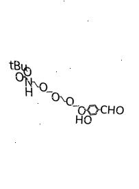 CC(C)(C)OC(=O)NCCOCCOCCOCCOc1ccc(C=O)cc1O